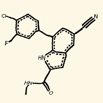 CNC(=O)c1cc2cc(C#N)cc(-c3ccc(Cl)c(F)c3)c2[nH]1